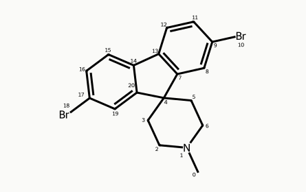 CN1CCC2(CC1)c1cc(Br)ccc1-c1ccc(Br)cc12